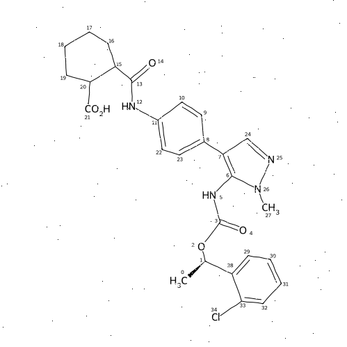 C[C@@H](OC(=O)Nc1c(-c2ccc(NC(=O)C3CCCCC3C(=O)O)cc2)cnn1C)c1ccccc1Cl